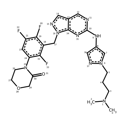 CN(C)CCCn1cc(Nc2ncc3cnn(Cc4c(F)c(F)cc(N5CCOCC5=O)c4F)c3n2)cn1